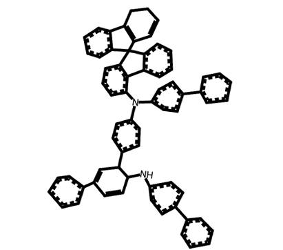 C1=CC2=C(CC1)c1ccccc1C21c2ccccc2-c2c(N(c3ccc(-c4ccccc4)cc3)c3ccc(C4C=C(c5ccccc5)C=CC4Nc4ccc(-c5ccccc5)cc4)cc3)cccc21